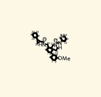 COc1cccc(-c2ccc(CNC(=O)C3CC3c3ccccc3)c3c2CCN(C(=O)Nc2cccnc2)C3)c1